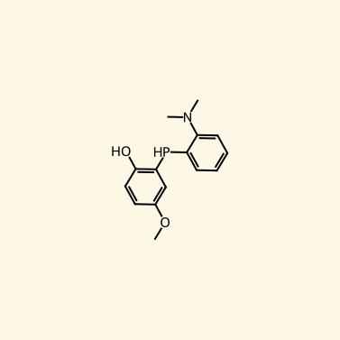 COc1ccc(O)c(Pc2ccccc2N(C)C)c1